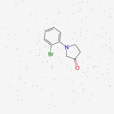 O=C1CCN(c2ccccc2Br)C1